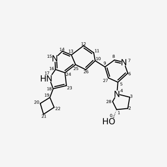 O[C@H]1CCN(c2cncc(-c3ccc4cnc5[nH]c(C6CCC6)cc5c4c3)c2)C1